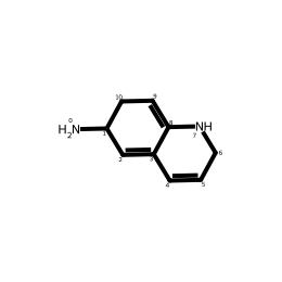 NC1C=C2C=CCNC2=CC1